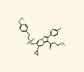 CCOC(=O)c1c(-c2ccc(F)cc2)nn2cc(NS(=O)(=O)CCc3ccc(OC)cc3)c(C3CC3)cc12